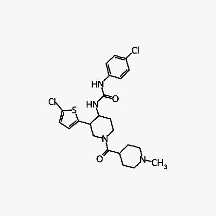 CN1CCC(C(=O)N2CCC(NC(=O)Nc3ccc(Cl)cc3)C(c3ccc(Cl)s3)C2)CC1